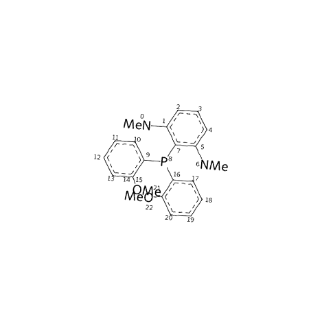 CNc1cccc(NC)c1P(c1ccccc1OC)c1ccccc1OC